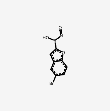 O=NB(O)c1cc2cc(Br)ccc2o1